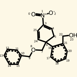 O=[N+]([O-])C1=CCC(COCc2ccccc2)(c2ccccc2CO)C=C1